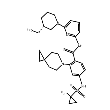 CC1(S(=O)(=O)Nc2ccc(C(=O)Nc3cccc(N4CCC[C@@H](CO)C4)n3)c(N3CCC4(CC3)CC4)c2)CC1